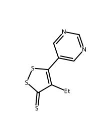 CCc1c(-c2cncnc2)ssc1=S